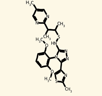 COc1cccc(OC)c1-n1c(NSC(C)C(C)c2ncc(C)cn2)nnc1-c1csc(C)n1